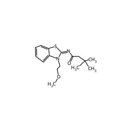 COCCn1c(=NC(=O)CC(C)(C)C)sc2ccccc21